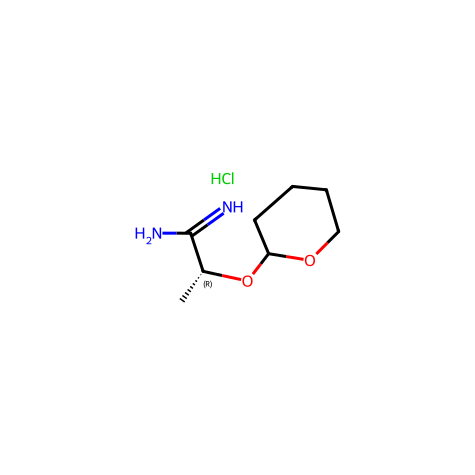 C[C@@H](OC1CCCCO1)C(=N)N.Cl